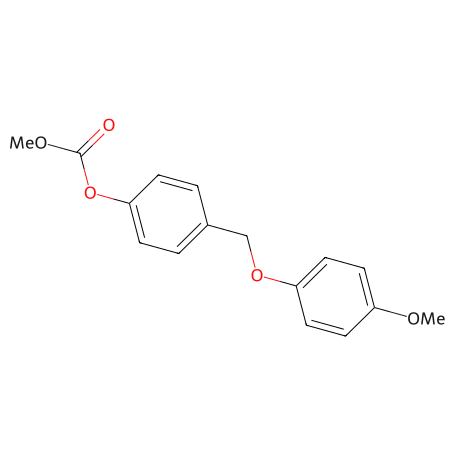 COC(=O)Oc1ccc(COc2ccc(OC)cc2)cc1